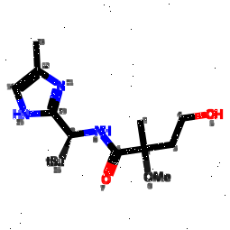 COC(C)(CCO)C(=O)N[C@H](c1nc(C)c[nH]1)C(C)(C)C